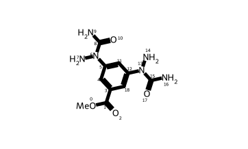 COC(=O)c1cc(N(N)C(N)=O)cc(N(N)C(N)=O)c1